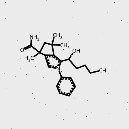 CCCCC(O)c1c2c(cn1-c1ccccc1)C(C)(C(N)=O)CC2(C)C